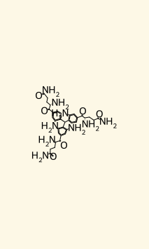 NC(=O)CC[C@H](N)C(=O)c1ccc(C(c2ccc(C(=O)[C@@H](N)CCC(N)=O)cc2N)c2ccc(C(=O)[C@@H](N)CCC(N)=O)cc2N)c(N)c1